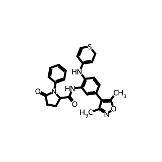 Cc1noc(C)c1-c1ccc(NC2=CCSC=C2)c(NC(=O)C2CCC(=O)N2c2ccccc2)c1